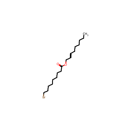 CCCCCCC=CCOC(=O)CCCCCCCCBr